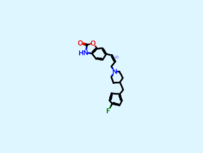 O=c1[nH]c2ccc(/C=C\CN3CCC(Cc4ccc(F)cc4)CC3)cc2o1